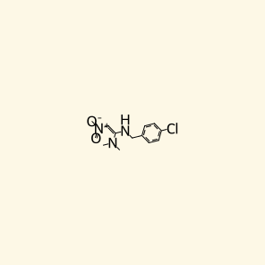 CN(C)/C(=C\[N+](=O)[O-])NCc1ccc(Cl)cc1